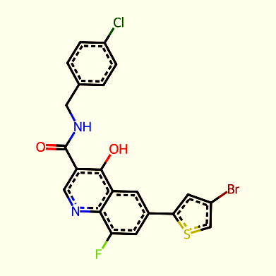 O=C(NCc1ccc(Cl)cc1)c1cnc2c(F)cc(-c3cc(Br)cs3)cc2c1O